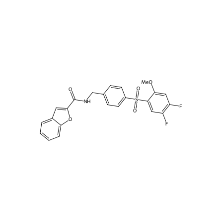 COc1cc(F)c(F)cc1S(=O)(=O)c1ccc(CNC(=O)c2cc3ccccc3o2)cc1